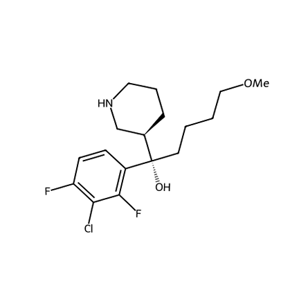 COCCCC[C@@](O)(c1ccc(F)c(Cl)c1F)[C@@H]1CCCNC1